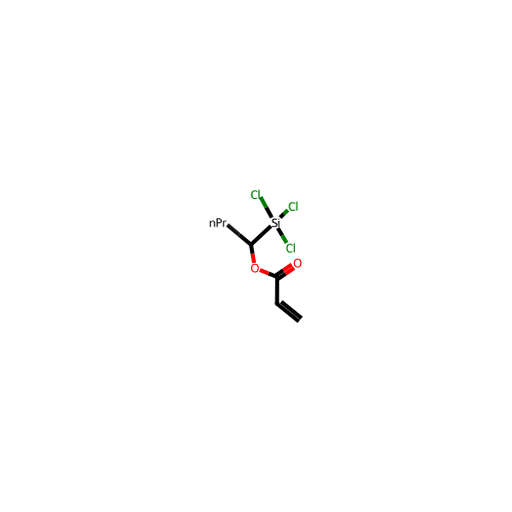 C=CC(=O)OC(CCC)[Si](Cl)(Cl)Cl